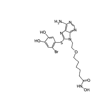 Nc1ncnc2c1nc(Sc1cc(O)c(O)cc1Br)n2CCOCCCCCC(=O)NO